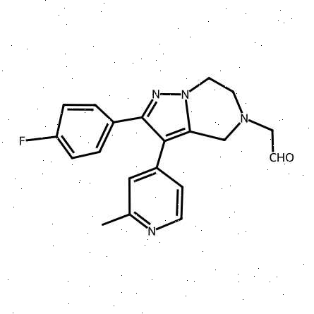 Cc1cc(-c2c(-c3ccc(F)cc3)nn3c2CN(CC=O)CC3)ccn1